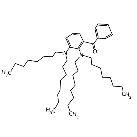 CCCCCCCCN(CCCCCCCC)c1cccc(C(=O)c2ccccc2)c1N(CCCCCCCC)CCCCCCCC